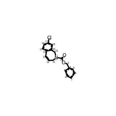 O=C(OCc1ccccc1)N1CC=Cc2ccc(Cl)cc2C1